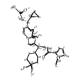 CCCC(=O)N[C@@H](c1cnn2cc([C@@H](NC(=O)c3ccnn3C)C3CCC(F)(F)CC3)nc2c1)C1CC1